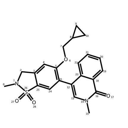 CN1Cc2cc(OCC3CC3)c(-c3cn(C)c(=O)c4ccccc34)cc2S1(=O)=O